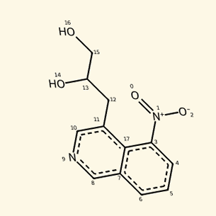 O=[N+]([O-])c1cccc2cncc(CC(O)CO)c12